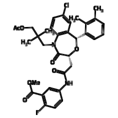 COC(=O)c1cc(NC(=O)C[C@H]2O[C@@H](c3cccc(C)c3C)c3cc(Cl)ccc3N(CC(C)(C)COC(C)=O)C2=O)ccc1F